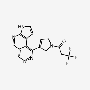 O=C(CC(F)(F)F)N1CC=C(c2nncc3cnc4[nH]ccc4c23)C1